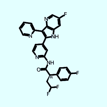 O=C(Nc1cc(-c2[nH]c3cc(F)cnc3c2-c2ccccn2)ccn1)[C@H](CC(F)F)c1ccc(F)cc1